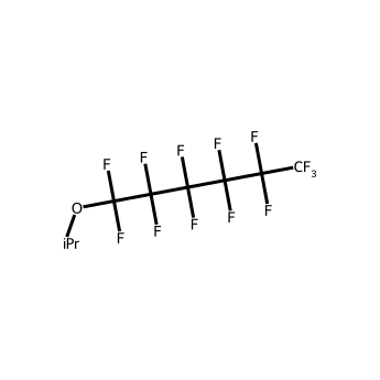 CC(C)OC(F)(F)C(F)(F)C(F)(F)C(F)(F)C(F)(F)C(F)(F)F